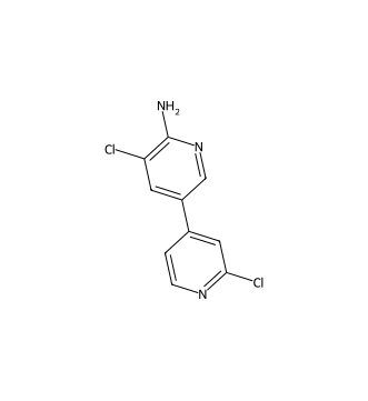 Nc1ncc(-c2ccnc(Cl)c2)cc1Cl